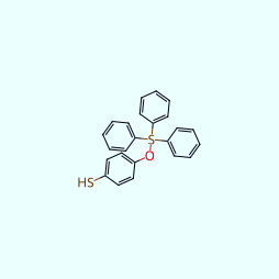 Sc1ccc(OS(c2ccccc2)(c2ccccc2)c2ccccc2)cc1